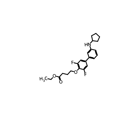 CCOC(=O)CCCOc1c(F)cc(-c2cccc(NC3CCCC3)c2)cc1F